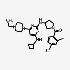 CCN1CCN(c2cc(NC3CCC3)nc(NC3CCN(C(=O)c4ccc(Cl)cc4F)C3)n2)CC1